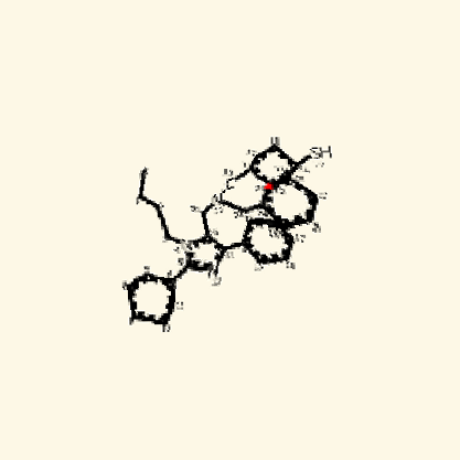 CCCCn1c(-c2ccccc2)nc(-c2ccccc2)c1CN(Cc1ccccc1)Cc1ccc(S)cc1